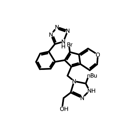 CCCCC1NN=C(CO)N1Cc1c2ccocc-2c(Br)c1-c1ccccc1-c1nnn[nH]1